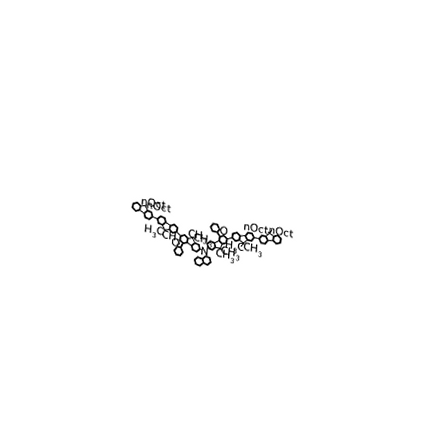 CCCCCCCCC1(CCCCCCCC)c2ccccc2-c2ccc(-c3ccc4c(c3)C(C)(C)c3cc(-c5cc6c(c7c5oc5ccccc57)-c5ccc(N(c7ccc8c(c7)C(C)(C)c7cc(-c9ccc%10c(c9)C(C)(C)c9cc(-c%11ccc%12c(c%11)C(CCCCCCCC)(CCCCCCCC)c%11ccccc%11-%12)ccc9-%10)c9oc%10ccccc%10c9c7-8)c7cccc8ccccc78)cc5C6(C)C)ccc3-4)cc21